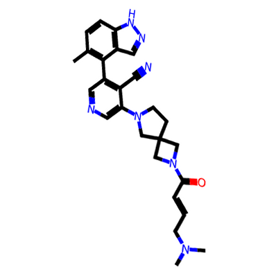 Cc1ccc2[nH]ncc2c1-c1cncc(N2CCC3(CN(C(=O)C=CCN(C)C)C3)C2)c1C#N